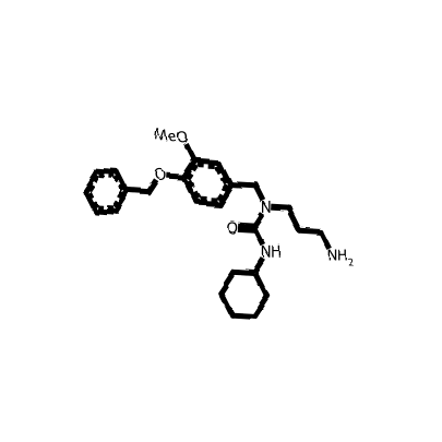 COc1cc(CN(CCCN)C(=O)NC2CCCCC2)ccc1OCc1ccccc1